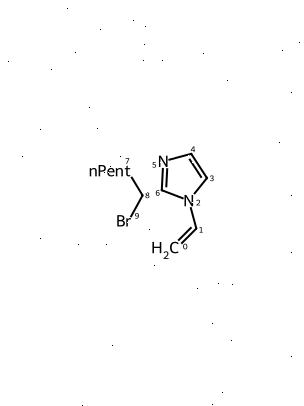 C=Cn1ccnc1.CCCCCCBr